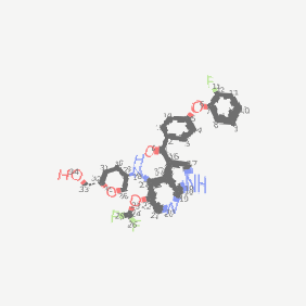 O=C(c1ccc(Oc2ccccc2F)cc1)c1c[nH]c2ncc(OC(F)F)c(N[C@@H]3CC[C@@H](CO)OC3)c12